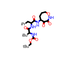 CCC(C)C(NC(=O)OCC(C)(C)C)C(=O)NC(CC(C)C)C(=O)NC1CCCONC(=O)C1=O